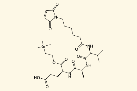 CC(C)[C@H](NC(=O)CCCCCN1C(=O)C=CC1=O)C(=O)N[C@@H](C)C(=O)N[C@@H](CCC(=O)O)C(=O)OCC[Si](C)(C)C